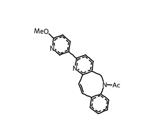 COc1ccc(-c2ccc3c(n2)/C=C\c2ccccc2N(C(C)=O)C3)cn1